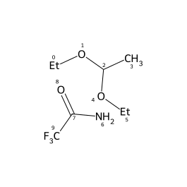 CCOC(C)OCC.NC(=O)C(F)(F)F